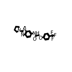 Cn1c(N2CCCC2)nc2ccc(NC(=O)COc3ccc(C(F)(F)F)cc3)cc21